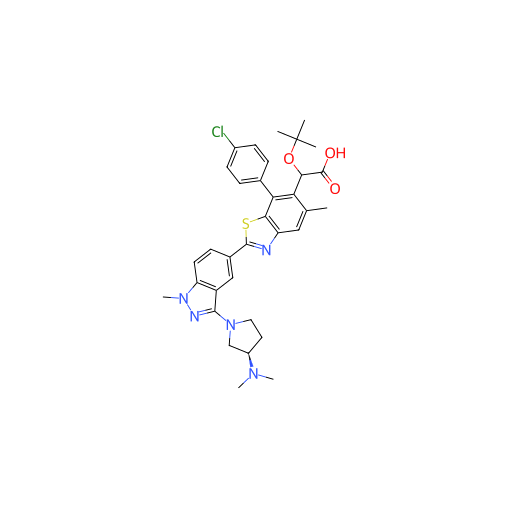 Cc1cc2nc(-c3ccc4c(c3)c(N3CC[C@@H](N(C)C)C3)nn4C)sc2c(-c2ccc(Cl)cc2)c1C(OC(C)(C)C)C(=O)O